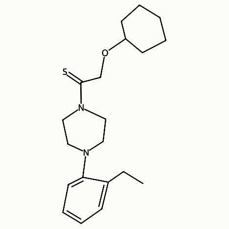 CCc1ccccc1N1CCN(C(=S)COC2CCCCC2)CC1